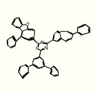 c1ccc(-c2cc(-c3ccccc3)cc(-c3nc(-c4ccc5cc(-c6ccccc6)ccc5c4)nc(-c4cc(-c5ccccc5)c5c(c4)oc4ccccc45)n3)c2)cc1